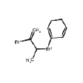 C=C(CC)C(C)BC1=CCCC=C1